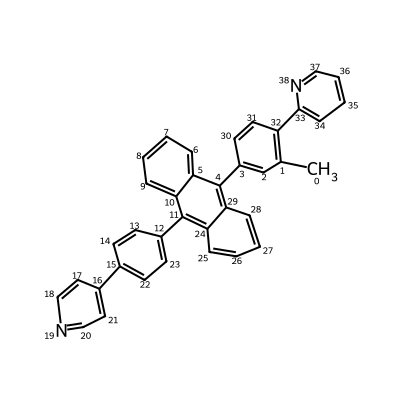 Cc1cc(-c2c3ccccc3c(-c3ccc(-c4ccncc4)cc3)c3ccccc23)ccc1-c1ccccn1